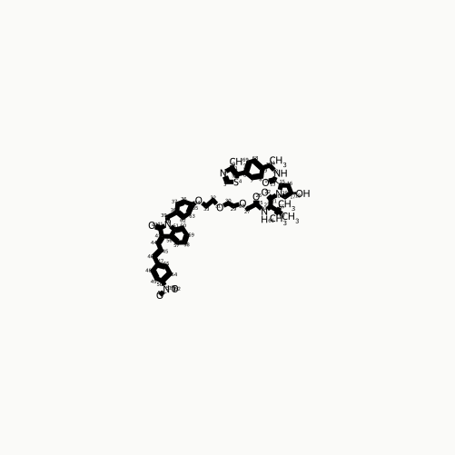 Cc1ncsc1-c1ccc(C(C)NC(=O)[C@@H]2C[C@@H](O)CN2C(=O)C(NC(=O)COCCOCCOc2ccc(CN3C(=O)/C(=C/C=C/c4ccc([N+](=O)[O-])cc4)c4ccccc43)cc2)C(C)(C)C)cc1